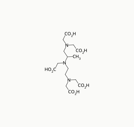 CC(CN(CC(=O)O)CC(=O)O)N(CCN(CC(=O)O)CC(=O)O)CC(=O)O